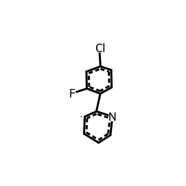 Fc1cc(Cl)ccc1-c1[c]cccn1